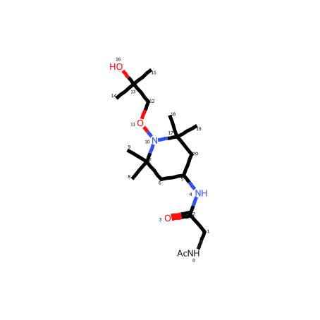 CC(=O)NCC(=O)NC1CC(C)(C)N(OCC(C)(C)O)C(C)(C)C1